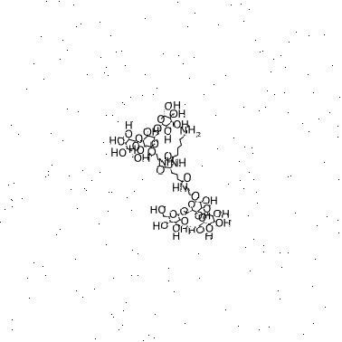 NCCCCCC(=O)N[C@@H](CCCC(=O)NCCO[C@H]1O[C@H](CO[C@H]2O[C@H](CO)[C@@H](O)[C@H](O)[C@@H]2O)[C@@H](O)[C@H](O[C@@H]2O[C@H](CO)[C@@H](O)[C@H](O)[C@@H]2O)[C@@H]1O)C(=O)NCCO[C@H]1O[C@H](CO[C@H]2O[C@H](CO)[C@@H](O)[C@H](O)[C@@H]2O)[C@@H](O)[C@H](O[C@@H]2O[C@H](CO)[C@@H](O)[C@H](O)[C@@H]2O)[C@@H]1O